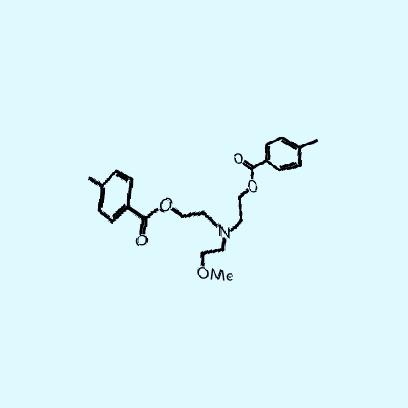 COCCN(CCOC(=O)c1ccc(C)cc1)CCOC(=O)c1ccc(C)cc1